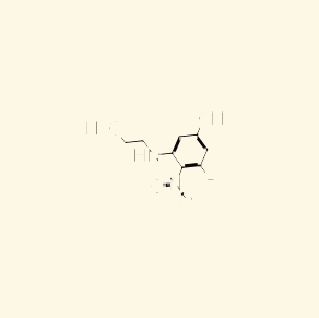 CCCNc1cc(C)cc(F)c1[N+](=O)[O-]